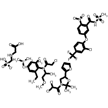 CC1(C)OC(c2ccco2)CN1C(=O)C(Cl)Cl.CCc1cccc(C)c1N(C(=O)CCl)C(C)COC.CS(=O)(=O)NC(=O)c1cc(Oc2ccc(C(F)(F)F)cc2Cl)ccc1[N+](=O)[O-].C[S+](C)C.O=C(O)CNCP(=O)([O-])O